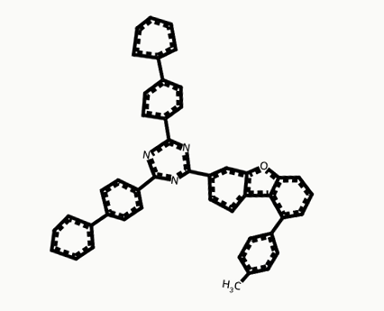 Cc1ccc(-c2cccc3oc4cc(-c5nc(-c6ccc(-c7ccccc7)cc6)nc(-c6ccc(-c7ccccc7)cc6)n5)ccc4c23)cc1